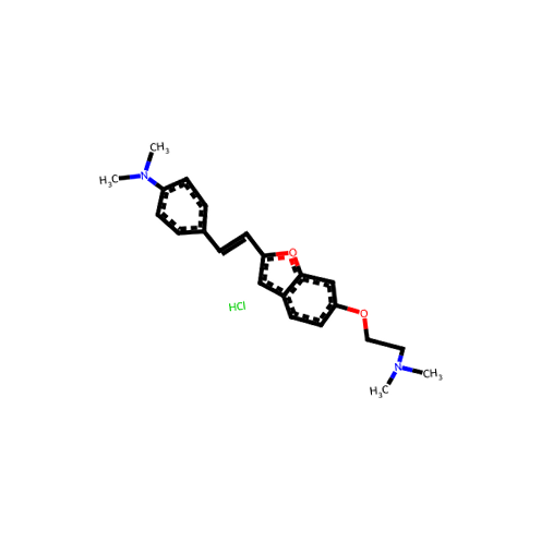 CN(C)CCOc1ccc2cc(/C=C/c3ccc(N(C)C)cc3)oc2c1.Cl